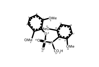 COc1cccc(OC)c1OS(=O)(=O)N(C(=O)O)c1c(OC)cccc1OC